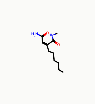 CCCCCCC(=CC(N)=O)C(=O)NC